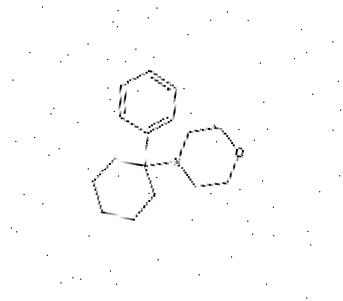 c1ccc(C2(N3CCOCC3)CCCCC2)cc1